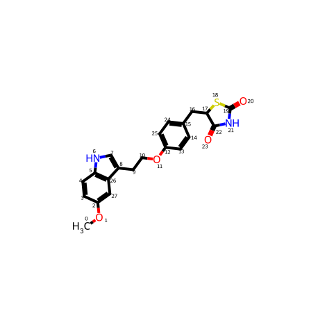 COc1ccc2[nH]cc(CCOc3ccc(CC4SC(=O)NC4=O)cc3)c2c1